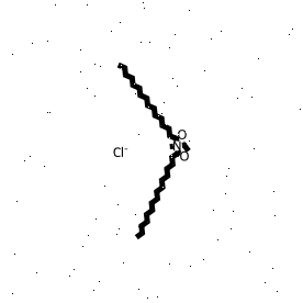 CCCCCCCCCCCCCCCC(=O)[N+](C)(CC)C(=O)CCCCCCCCCCCCCCC.[Cl-]